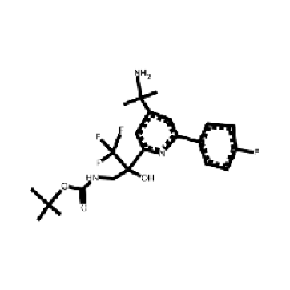 CC(C)(C)OC(=O)NCC(O)(c1cc(C(C)(C)N)cc(-c2ccc(F)cc2)n1)C(F)(F)F